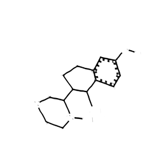 CCOc1ccc2c(c1)CCC(C1CNCCN1C)C2C